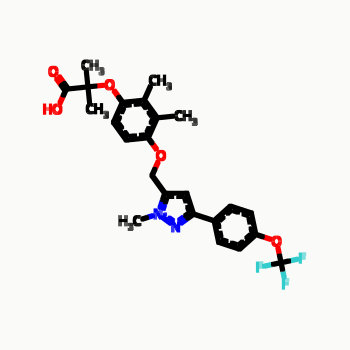 Cc1c(OCc2cc(-c3ccc(OC(F)(F)F)cc3)nn2C)ccc(OC(C)(C)C(=O)O)c1C